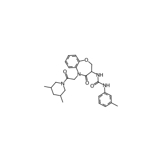 Cc1cccc(NC(=O)NC2COc3ccccc3N(CC(=O)N3CC(C)CC(C)C3)C2=O)c1